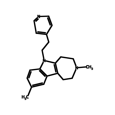 Cc1ccc2c(c1)c1c(n2CCc2ccncc2)CCN(C)CC1